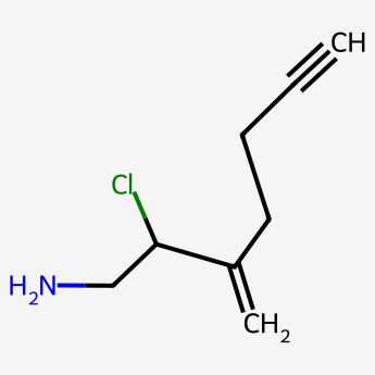 C#CCCC(=C)C(Cl)CN